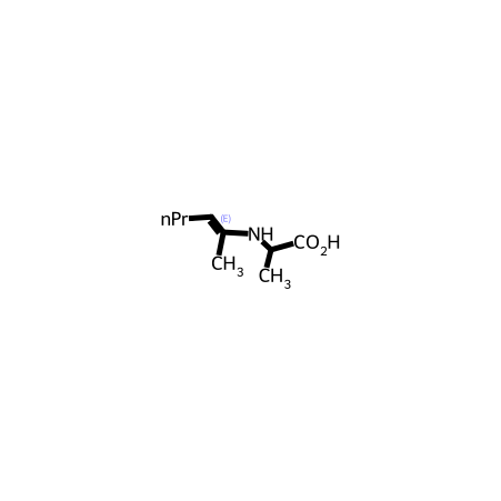 CCC/C=C(\C)NC(C)C(=O)O